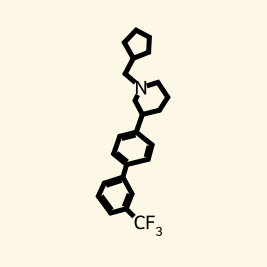 FC(F)(F)c1cccc(-c2ccc(C3CCCN(CC4CCCC4)C3)cc2)c1